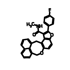 CNC(=O)c1c(-c2ccc(F)cc2)oc2ccc3c(c12)Cc1cccc2cccc(c12)CO3